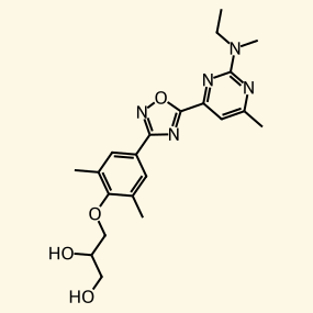 CCN(C)c1nc(C)cc(-c2nc(-c3cc(C)c(OCC(O)CO)c(C)c3)no2)n1